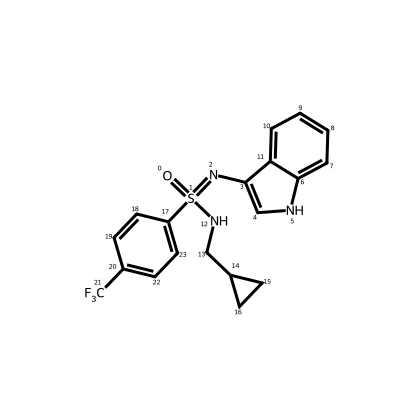 O=S(=Nc1c[nH]c2ccccc12)(NCC1CC1)c1ccc(C(F)(F)F)cc1